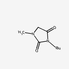 CCC(C)N1C(=O)CN(C)C1=O